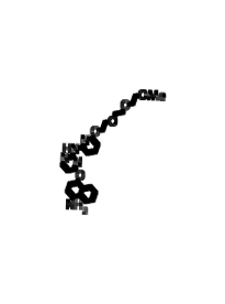 COCCOCCOCCOc1cccc(Nc2nccc(Oc3ccc(N)c4ccccc34)n2)n1